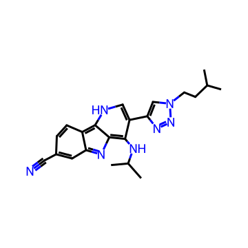 CC(C)CCn1cc(-c2c[nH]c3c4ccc(C#N)cc4nc-3c2NC(C)C)nn1